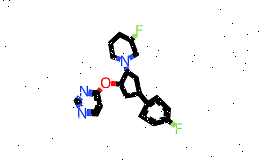 Fc1ccc(C2CC(Oc3ccncn3)C(N3CCCC(F)C3)C2)cc1